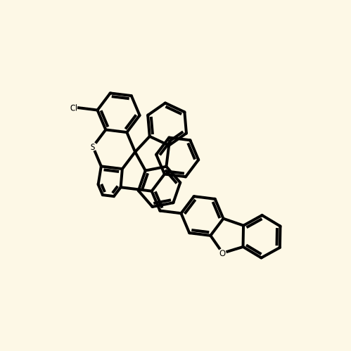 Clc1cccc2c1Sc1cccc(/C(=C/c3ccc4c(c3)oc3ccccc34)c3ccccc3)c1C21c2ccccc2-c2ccccc21